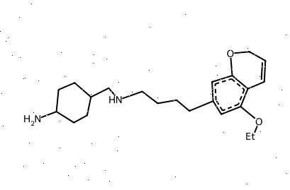 CCOc1cc(CCCCNCC2CCC(N)CC2)cc2c1C=CCO2